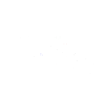 Cl.O=C1CN(Cc2ccccc2)CCC1C(=O)OCc1ccccc1